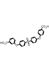 O=C(O)c1ccc(Oc2ccc(S(=O)(=O)c3ccc(Oc4cccc(C(=O)O)c4)cc3)cc2)cc1